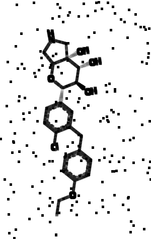 CCOc1ccc(Cc2cc([C@@H]3OC4CNC[C@@]4(O)[C@H](O)[C@H]3O)ccc2Cl)cc1